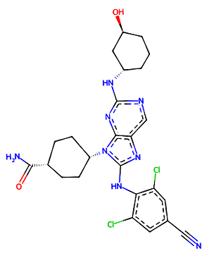 N#Cc1cc(Cl)c(Nc2nc3cnc(N[C@H]4CCC[C@H](O)C4)nc3n2[C@H]2CC[C@@H](C(N)=O)CC2)c(Cl)c1